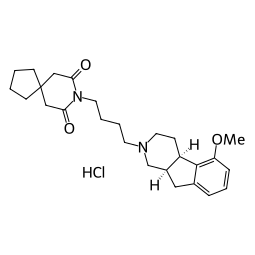 COc1cccc2c1[C@@H]1CCN(CCCCN3C(=O)CC4(CCCC4)CC3=O)C[C@@H]1C2.Cl